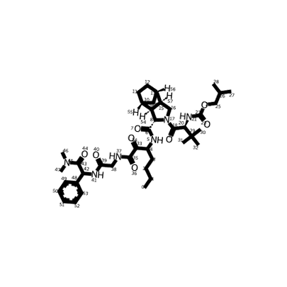 CCCCC(NC(=O)[C@@H]1[C@H]2[C@@H]3CC[C@@H](C3)[C@H]2CN1C(=O)[C@@H](NC(=O)OCC(C)C)C(C)(C)C)C(=O)C(=O)NCC(=O)NC(C(=O)N(C)C)c1ccccc1